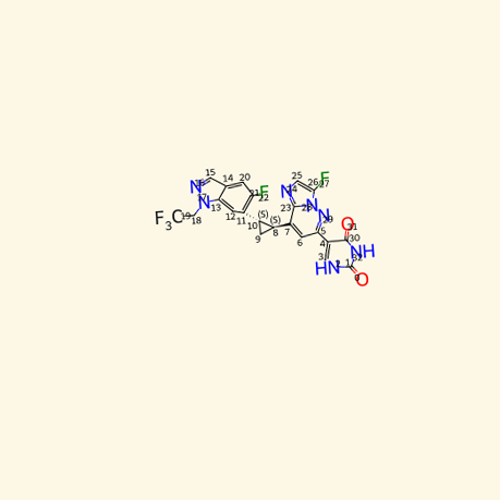 O=c1[nH]cc(-c2cc([C@H]3C[C@@H]3c3cc4c(cnn4CC(F)(F)F)cc3F)c3ncc(F)n3n2)c(=O)[nH]1